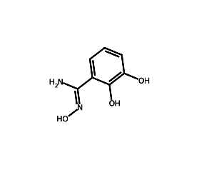 NC(=NO)c1cccc(O)c1O